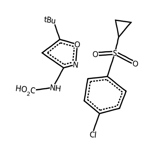 CC(C)(C)c1cc(NC(=O)O)no1.O=S(=O)(c1ccc(Cl)cc1)C1CC1